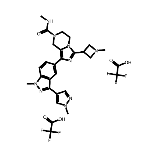 CNC(=O)N1CCn2c(C3CN(C)C3)nc(-c3ccc4c(c3)c(-c3cnn(C)c3)nn4C)c2C1.O=C(O)C(F)(F)F.O=C(O)C(F)(F)F